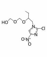 CCC(Cn1cc([N+](=O)[O-])nc1Cl)OCOCO